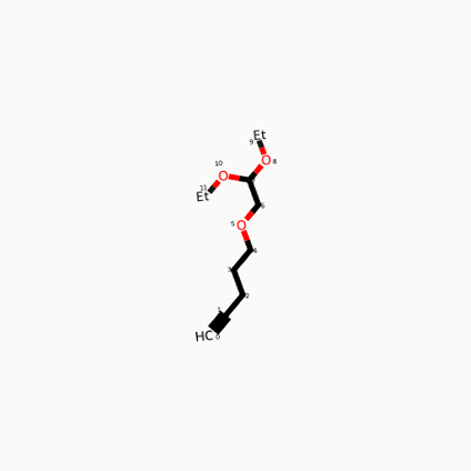 C#CCCCOCC(OCC)OCC